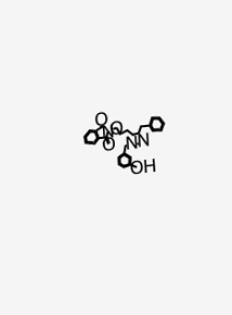 O=C1c2ccccc2C(=O)N1OCCC1C(Cc2ccccc2)N=CN1Cc1cccc(O)c1